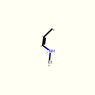 [CH2]CN/C=C\C